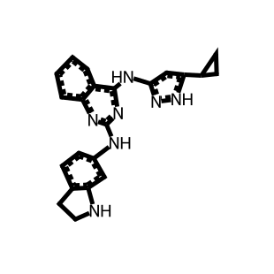 c1ccc2c(Nc3cc(C4CC4)[nH]n3)nc(Nc3ccc4c(c3)NCC4)nc2c1